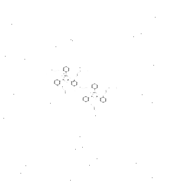 CCCCOc1ccccc1-c1nc(-c2ccccc2OCCCC)nc(-c2ccccc2OCCCC)n1.CCCCOc1ccccc1-c1nc(-c2ccccc2OCCCC)nc(-c2ccccc2OCCCC)n1